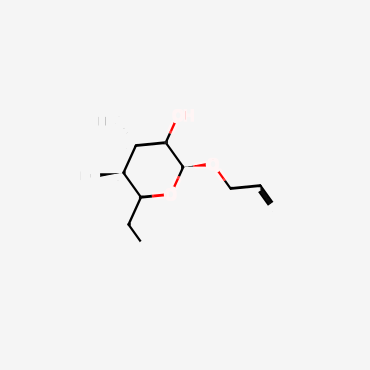 C=CCO[C@H]1OC(CC)[C@@H](C)[C@H](C)C1O